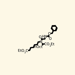 CCCCCCCCC(C(=O)OCC)N(CCCCCCC(=O)OCC)C(=O)CNC(=O)OCc1ccccc1